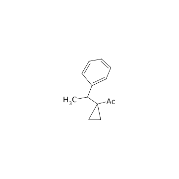 CC(=O)C1(C(C)c2ccccc2)CC1